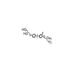 CC(C)(c1ccc(OC[C@H](O)CO)cc1)c1ccc(OC[C@H](O)CCl)c(F)c1